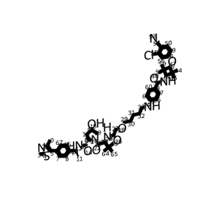 Cc1ncsc1-c1ccc([C@H](C)NC(=O)[C@@H]2C[C@@H](O)CN2C(=O)[C@H](NC(=O)COCCCCCNc2ccc(C(=O)NC3C(C)(C)C(Oc4ccc(C#N)c(Cl)c4)C3(C)C)cc2)C(C)(C)C)cc1